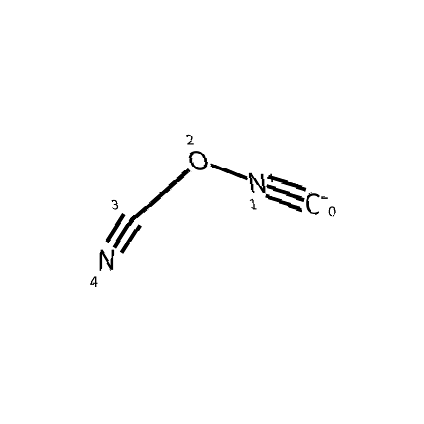 [C-]#[N+]OC#N